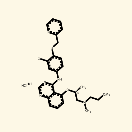 COCCN(C)C[C@H](C)Oc1cccc2ncnc(Nc3ccc(OCc4ccccn4)c(Cl)c3)c12.Cl.Cl